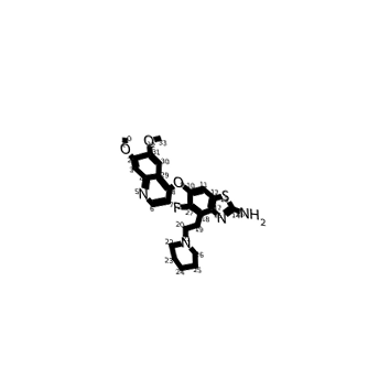 COc1cc2nccc(Oc3cc4sc(N)nc4c(CCN4CCCCC4)c3F)c2cc1OC